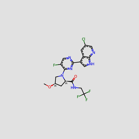 CO[C@@H]1C[C@H](C(=O)NCC(F)(F)F)N(c2nc(-c3c[nH]c4ncc(Cl)cc34)ncc2F)C1